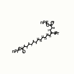 CCCOC(=O)CCCCCCCCCCCCC(CCC(=O)OCCC)C(C)C